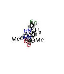 COc1ccc(C(NC(C)c2ccc(F)c(F)c2)c2ccccc2Nc2c(OC)c(=O)c2=O)cc1